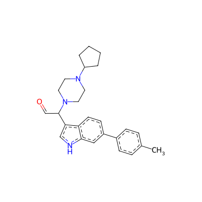 Cc1ccc(-c2ccc3c(C(C=O)N4CCN(C5CCCC5)CC4)c[nH]c3c2)cc1